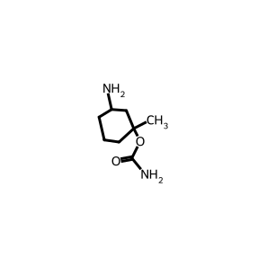 CC1(OC(N)=O)CCCC(N)C1